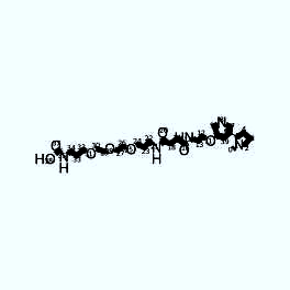 CN1CCC[C@H]1c1cncc(OCCNC(=O)CCC(=O)NCCCOCCOCCOCCCNC(=O)O)c1